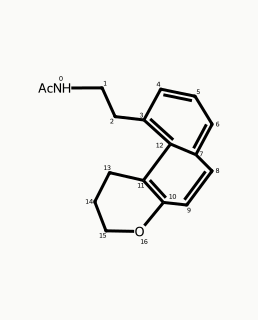 CC(=O)NCCc1cccc2ccc3c(c12)CCCO3